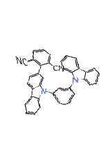 N#Cc1cccc(C#N)c1-c1ccc2c3ccccc3n(-c3cccc(-n4c5ccccc5c5ccccc54)c3)c2c1